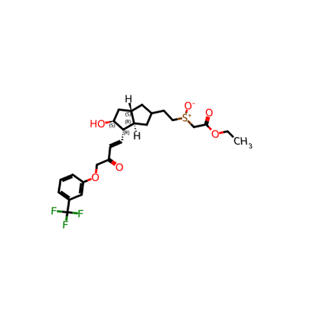 CCOC(=O)C[S+]([O-])CCC1C[C@H]2C[C@H](O)[C@@H](C=CC(=O)COc3cccc(C(F)(F)F)c3)[C@@H]2C1